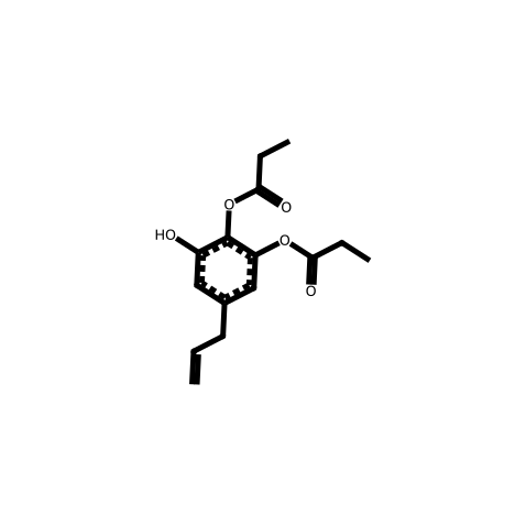 C=CCc1cc(O)c(OC(=O)CC)c(OC(=O)CC)c1